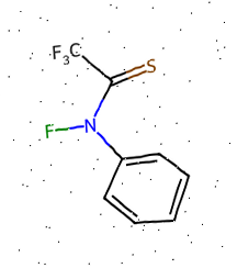 FN(C(=S)C(F)(F)F)c1ccccc1